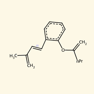 C=C(C)/C=C/c1ccccc1OC(=C)CCC